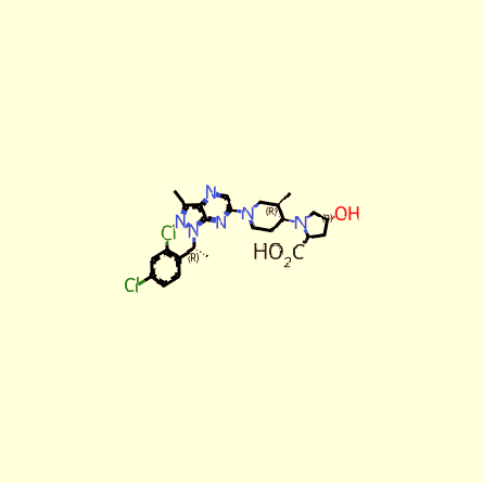 Cc1nn([C@H](C)c2ccc(Cl)cc2Cl)c2nc(N3CCC(N4C[C@H](O)CC4C(=O)O)[C@H](C)C3)cnc12